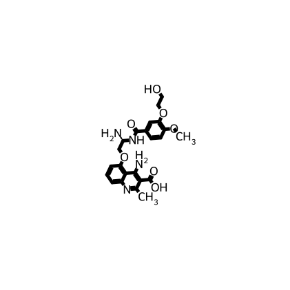 COc1ccc(C(=O)N[C@@H](N)COc2cccc3nc(C)c(C(=O)O)c(N)c23)cc1OCCO